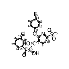 CS(=O)(=O)c1ncc(C(=O)O)c(Oc2ccc(F)cc2)n1.O=C(OO)c1cccc(Cl)c1